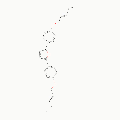 CC/C=C/COc1ccc(-c2ccc(-c3ccc(OC/C=C/CC)cc3)o2)cc1